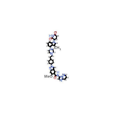 COc1cc2nn(C3CCC(CCN4CCN(c5cccc6c5c(C)cn6C5CCC(=O)NC5=O)CC4)CC3)cc2cc1C(=O)Nc1cnc2cccnn12